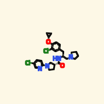 O=C(NC(Cc1ccc(OC2CC2)c(Cl)c1)CN1CCCC1)[C@@H]1CCN(c2ccc(Cl)cn2)C1